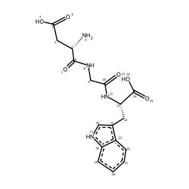 N[C@@H](CC(=O)O)C(=O)NCC(=O)N[C@@H](Cc1c[nH]c2ccccc12)C(=O)O